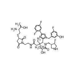 C=C(O)[C@@H](N)CSC1CC(=O)N(CCNC(=O)CC(C)(C)[C@H](c2nc(-c3cc(F)ccc3F)cn2Cc2cc(O)cc(F)c2)N(C[C@@H]2CNC[C@@H]2F)C(=O)[C@H](C)O)C1=O